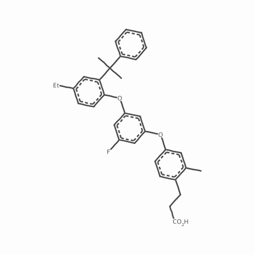 CCc1ccc(Oc2cc(F)cc(Oc3ccc(CCC(=O)O)c(C)c3)c2)c(C(C)(C)c2ccccc2)c1